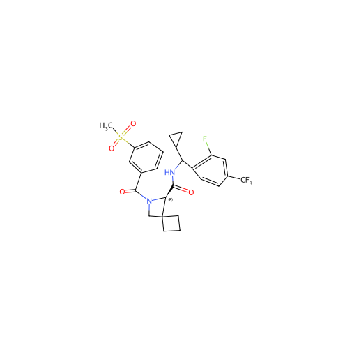 CS(=O)(=O)c1cccc(C(=O)N2CC3(CCC3)[C@@H]2C(=O)NC(c2ccc(C(F)(F)F)cc2F)C2CC2)c1